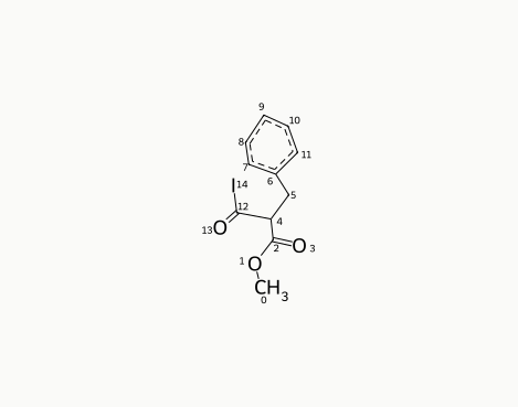 COC(=O)C(Cc1ccccc1)C(=O)I